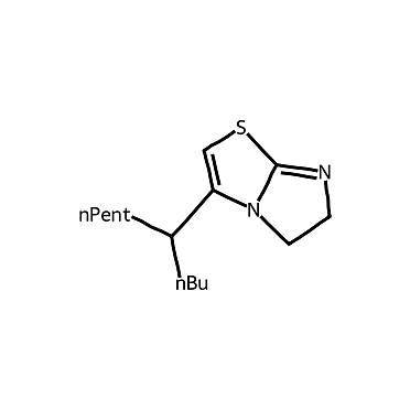 CCCCCC(CCCC)C1=CSC2=NCCN12